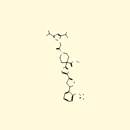 COC(=O)C1(c2nc(C3=NOC(c4ccccc4OS(C)(=O)=O)C3)cs2)CCN(C(=O)Cn2nc(C(F)F)cc2C(F)F)CC1